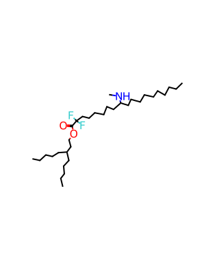 CCCCCCCCCCC(CCCCCCC(F)(F)C(=O)OCCC(CCCCC)CCCCC)NC